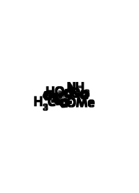 COc1ccc(CC(C)N(Cc2ccccc2)C[C@H](O)c2ccc(OCc3ccccc3)c(N)c2)cc1